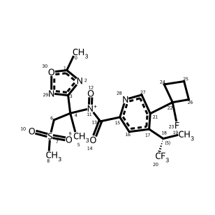 Cc1nc(C(C)(CS(C)(=O)=O)[N+](=O)C(=O)c2cc([C@H](C)C(F)(F)F)c(C3(F)CCC3)cn2)no1